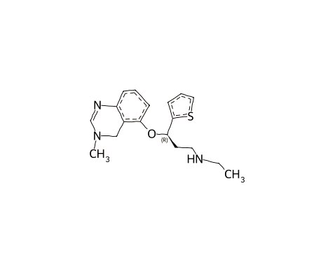 CCNCC[C@@H](Oc1cccc2c1CN(C)C=N2)c1cccs1